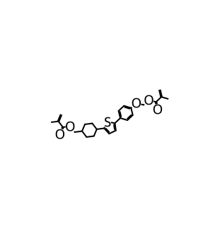 C=C(C)C(=O)OCOc1ccc(-c2ccc(C3CCC(COC(=O)C(=C)C)CC3)s2)cc1